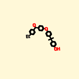 CCc1ccc(C(=O)c2ccc(Oc3ccc(C(C)(C)c4ccc(O)cc4)cc3)cc2)cc1